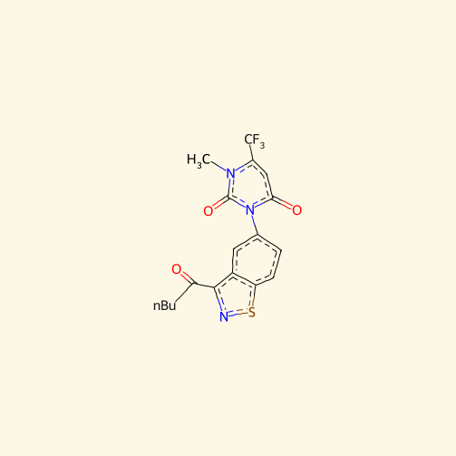 CCCCC(=O)c1nsc2ccc(-n3c(=O)cc(C(F)(F)F)n(C)c3=O)cc12